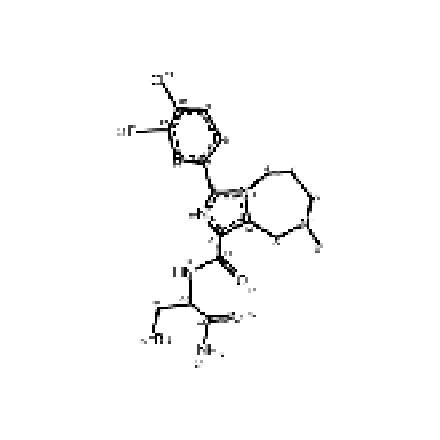 CN1CCCn2c(-c3ccc(Cl)c(F)c3)nc(C(=O)NC(CC(C)(C)C)C(N)=O)c2C1